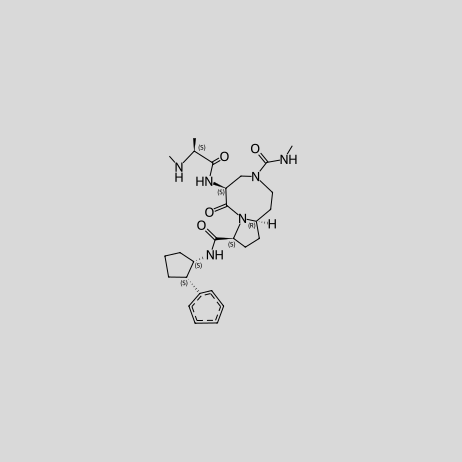 CNC(=O)N1CC[C@H]2CC[C@@H](C(=O)N[C@H]3CCC[C@H]3c3ccccc3)N2C(=O)[C@@H](NC(=O)[C@H](C)NC)C1